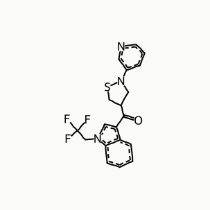 O=C(c1cn(CC(F)(F)F)c2ccccc12)C1CSN(c2cccnc2)C1